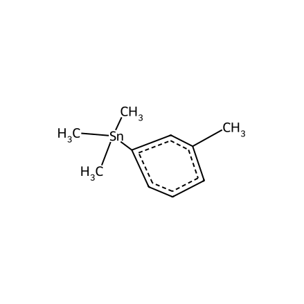 Cc1ccc[c]([Sn]([CH3])([CH3])[CH3])c1